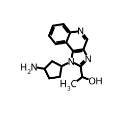 CC(O)c1nc2cnc3ccccc3c2n1C1CCC(N)C1